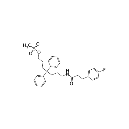 CS(=O)(=O)OCCCC(CCCNC(=O)CCc1ccc(F)cc1)(c1ccccc1)c1ccccc1